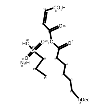 CCCCCCCCCCCCCCCC(=O)OC(=O)/C=C\C(=O)O.CCCS(=O)(=O)O.[NaH]